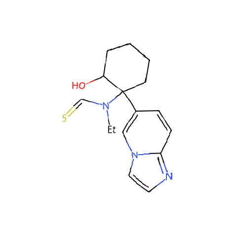 CCN(C=S)C1(c2ccc3nccn3c2)CCCCC1O